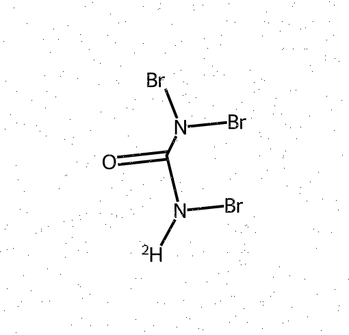 [2H]N(Br)C(=O)N(Br)Br